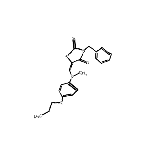 COCCOc1ccc(N(C)C=C2SC(=S)N(Cc3ccccc3)C2=O)cc1